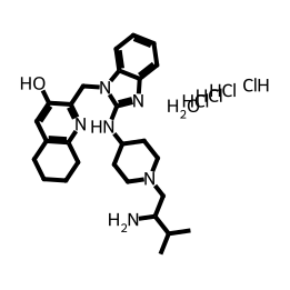 CC(C)C(N)CN1CCC(Nc2nc3ccccc3n2Cc2nc3c(cc2O)CCCC3)CC1.Cl.Cl.Cl.Cl.O